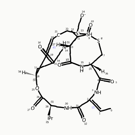 C/C=C1\NC(=O)[C@H]2CS[SH]3(=O)C(C)[C@@H](NC(=O)C[C@@H](/C=C/CC[S+]3[O-])OC(=O)[C@H](C(C)C)NC1=O)C(=O)N2